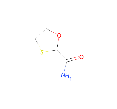 NC(=O)C1OCCS1